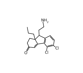 CCCC12CCC(=O)C=C1c1c(ccc(Cl)c1Cl)C2CCN